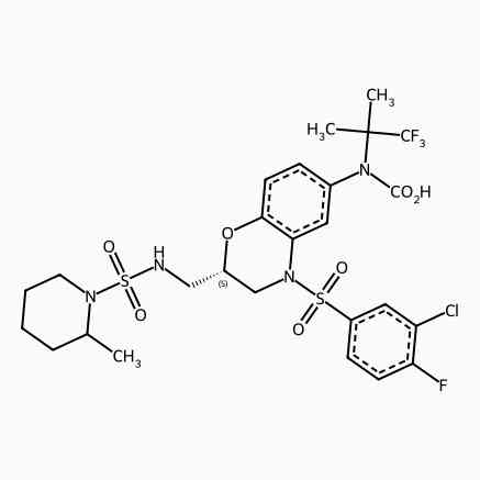 CC1CCCCN1S(=O)(=O)NC[C@H]1CN(S(=O)(=O)c2ccc(F)c(Cl)c2)c2cc(N(C(=O)O)C(C)(C)C(F)(F)F)ccc2O1